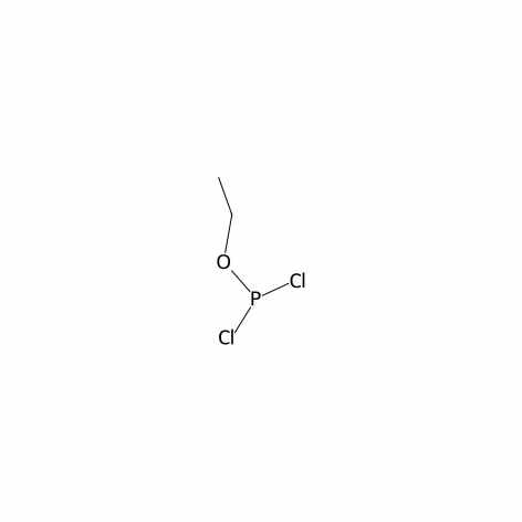 CCOP(Cl)Cl